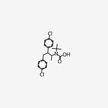 CC(C(Cc1ccc(Cl)cc1)c1ccc(Cl)cc1)N(C(=O)O)C(C)(C)C